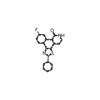 O=c1[nH]ccc2c3sc(-c4ccccc4)nc3c3ccc(F)cc3c12